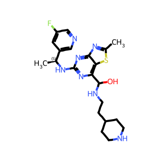 Cc1nc2nc(N[C@@H](C)c3cncc(F)c3)nc(C(O)NCCC3CCNCC3)c2s1